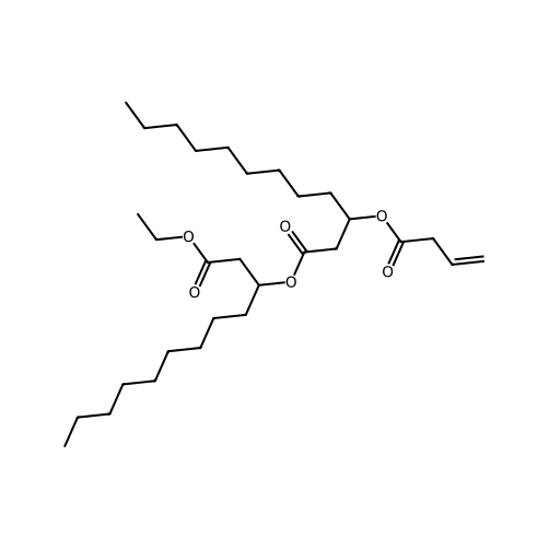 C=CCC(=O)OC(CCCCCCCCC)CC(=O)OC(CCCCCCCCC)CC(=O)OCC